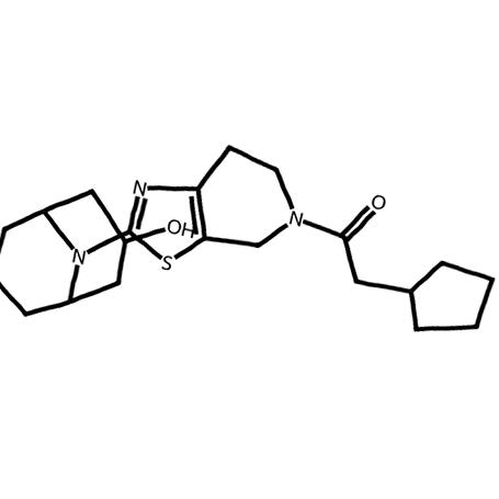 O=C(CC1CCCC1)N1CCc2nc(N3C4CNCC3CC(O)C4)sc2C1